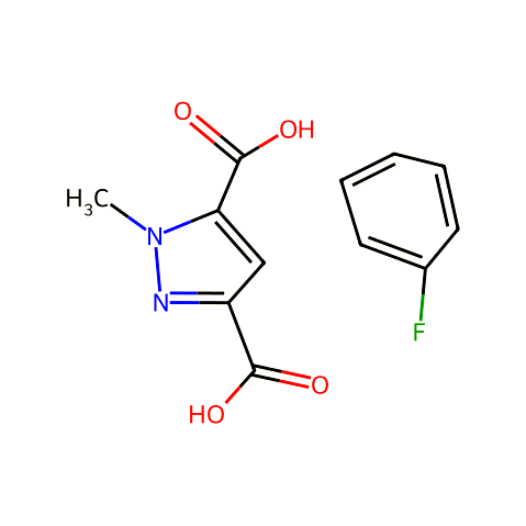 Cn1nc(C(=O)O)cc1C(=O)O.Fc1ccccc1